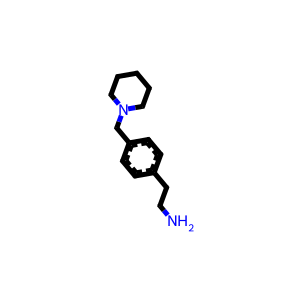 NCCc1ccc(CN2CCCCC2)cc1